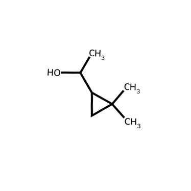 CC(O)C1CC1(C)C